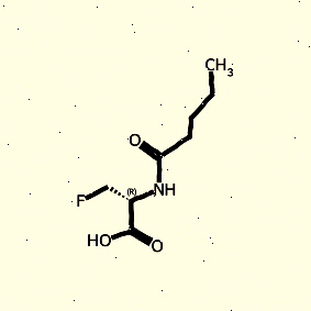 CCCCC(=O)N[C@@H](CF)C(=O)O